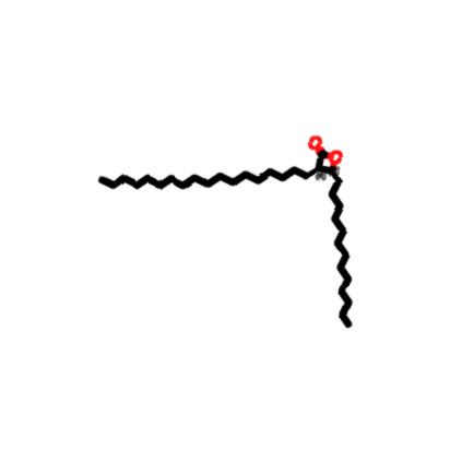 CCCCCCCCCCCCCCCCCC[C@H]1C(=O)O[C@H]1CCCCCCCCCCCCC